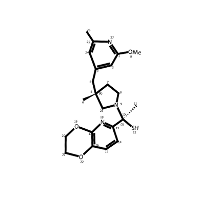 COc1cc(C[C@]2(C)CCN([C@@](C)(S)c3ccc4c(n3)OCCO4)C2)cc(C)n1